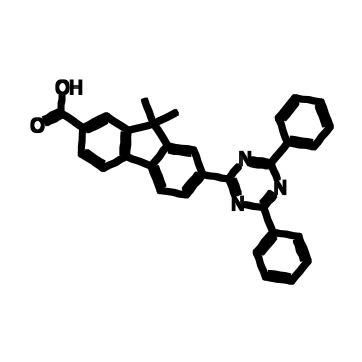 CC1(C)c2cc(C(=O)O)ccc2-c2ccc(-c3nc(-c4ccccc4)nc(-c4ccccc4)n3)cc21